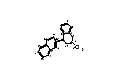 CN1Cc2ccccc2C(c2ccc3ccccc3c2)C1